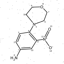 Nc1ccc(N2CCOCC2)c([N+](=O)[O-])c1